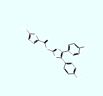 COc1ccc(-c2sc(NC(=O)c3ccc([N+](=O)[O-])s3)nc2-c2ccc(C(C)(C)C)cc2)cc1